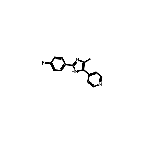 Cc1nc(-c2ccc(F)cc2)[nH]c1-c1ccncc1